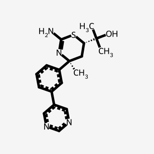 CC(C)(O)[C@@H]1C[C@@](C)(c2cccc(-c3cncnc3)c2)N=C(N)S1